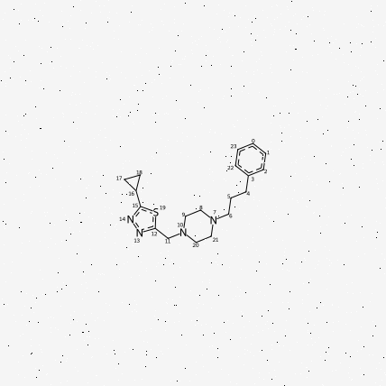 c1ccc(CCCN2CCN(Cc3nnc(C4CC4)s3)CC2)cc1